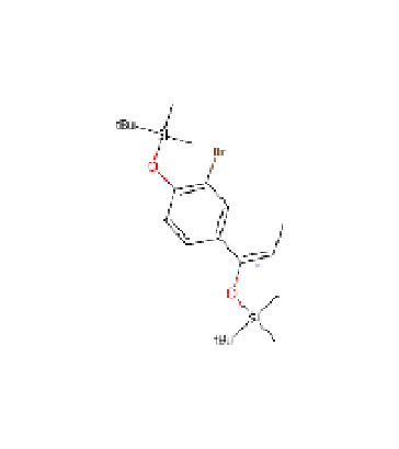 C/C=C(/O[Si](C)(C)C(C)(C)C)c1ccc(O[Si](C)(C)C(C)(C)C)c(Br)c1